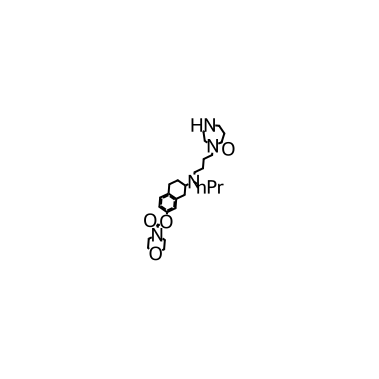 CCCN(CCCCN1CCNCCC1=O)C1CCc2ccc(OC(=O)N3CCOCC3)cc2C1